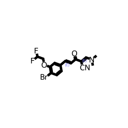 CN(C)/C=C(\C#N)C(=O)/C=C/c1ccc(Br)c(OCC(F)F)c1